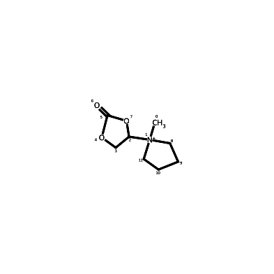 C[N+]1(C2COC(=O)O2)CCCC1